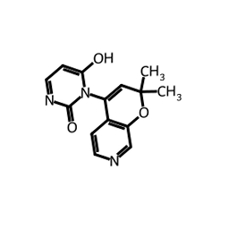 CC1(C)C=C(n2c(O)ccnc2=O)c2ccncc2O1